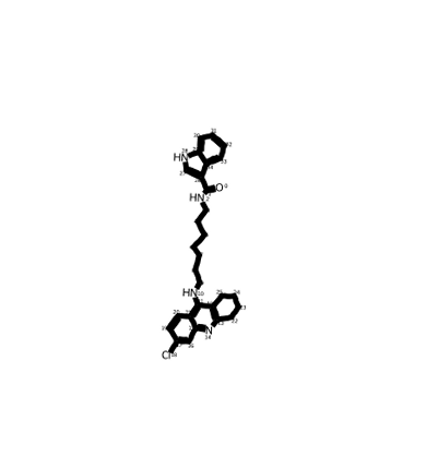 O=C(NCCCCCCCNc1c2c(nc3cc(Cl)ccc13)CCCC2)c1c[nH]c2ccccc12